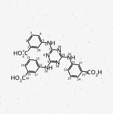 O=C(O)c1cccc(Nc2nc(Nc3cccc(C(=O)O)c3)nc(Nc3cccc(C(=O)O)c3)n2)c1